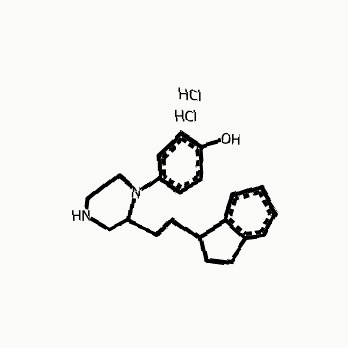 Cl.Cl.Oc1ccc(N2CCNCC2CCC2CCc3ccccc32)cc1